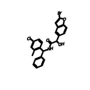 Cc1cc(Cl)ccc1C(NC(=O)C(O)c1ccc2oc(Br)cc2c1)c1ccccc1